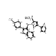 CCOC(=O)c1cc(-c2ccco2)nn1Cc1c(-c2ccc(Cl)cc2)nc2ccccn12